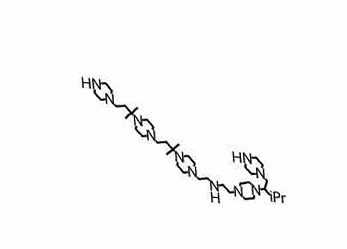 CC(C)C(CN1CCNCC1)N1CCN(CCNCCN2CCN(C(C)(C)CCN3CCN(C(C)(C)CCN4CCNCC4)CC3)CC2)CC1